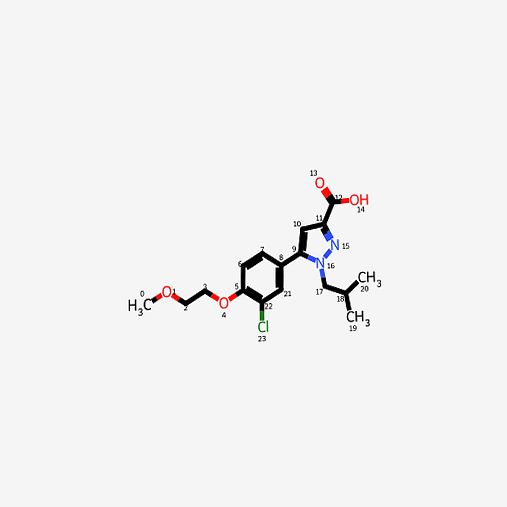 COCCOc1ccc(-c2cc(C(=O)O)nn2CC(C)C)cc1Cl